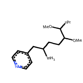 CCCC(OC)C(CC[CH]([InH2])Cc1ccncc1)OC